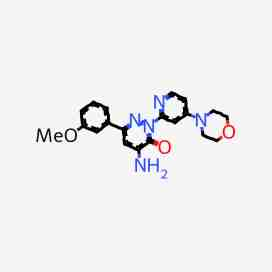 COc1cccc(-c2cc(N)c(=O)n(-c3cc(N4CCOCC4)ccn3)n2)c1